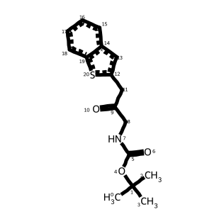 CC(C)(C)OC(=O)NCC(=O)Cc1cc2ccccc2s1